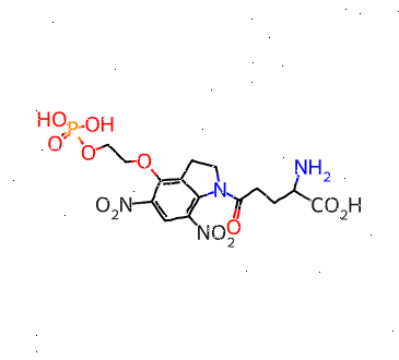 NC(CCC(=O)N1CCc2c(OCCOP(=O)(O)O)c([N+](=O)[O-])cc([N+](=O)[O-])c21)C(=O)O